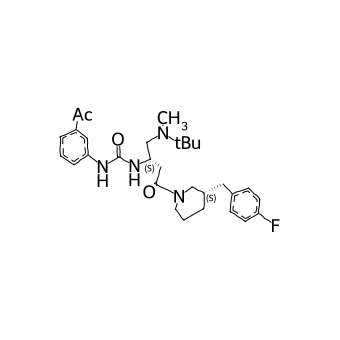 CC(=O)c1cccc(NC(=O)N[C@@H](CC(=O)N2CCC[C@@H](Cc3ccc(F)cc3)C2)CN(C)C(C)(C)C)c1